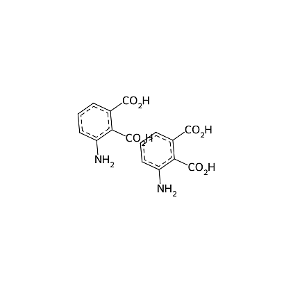 Nc1cccc(C(=O)O)c1C(=O)O.Nc1cccc(C(=O)O)c1C(=O)O